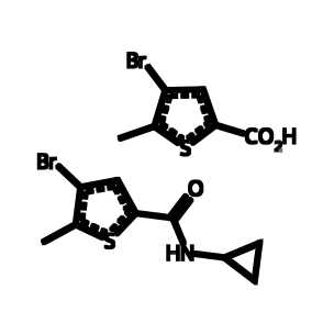 Cc1sc(C(=O)NC2CC2)cc1Br.Cc1sc(C(=O)O)cc1Br